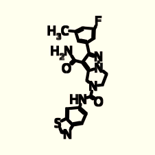 Cc1cc(F)cc(-c2nn3c(c2C(N)=O)CN(C(=O)Nc2ccc4ncsc4c2)CC3)c1